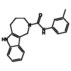 Cc1cccc(NC(=O)N2CCCc3[nH]c4ccccc4c3C2)c1